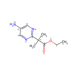 CCOC(=O)C(C)(C)c1ncc(N)cn1